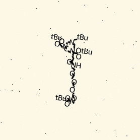 CN(OCCOCCOCCOCCNC(=O)CCC(C(=O)OC(C)(C)C)N1CCN(CCC(C)(C)C)CCN(CC(=O)OC(C)(C)C)CC1)C(=O)OC(C)(C)C